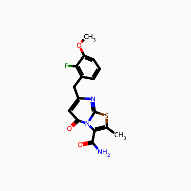 COc1cccc(Cc2cc(=O)n3c(C(N)=O)c(C)sc3n2)c1F